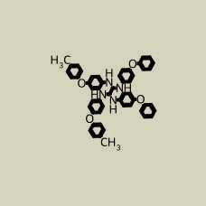 Cc1ccc(Oc2ccc(NC(Nc3ccc(Oc4ccccc4)cc3)C(Nc3ccc(Oc4ccccc4)cc3)Nc3ccc(Oc4ccc(C)cc4)cc3)cc2)cc1